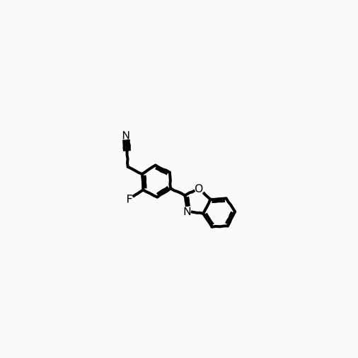 N#CCc1ccc(-c2nc3ccccc3o2)cc1F